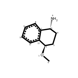 CO[C@@H]1CC[C@@H](N)c2ccccc21